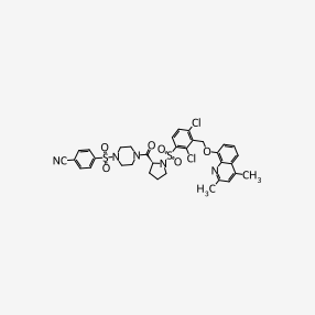 Cc1cc(C)c2cccc(OCc3c(Cl)ccc(S(=O)(=O)N4CCC[C@H]4C(=O)N4CCN(S(=O)(=O)c5ccc(C#N)cc5)CC4)c3Cl)c2n1